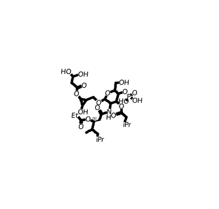 CCC(=O)O[C@@H](CC(=O)NC1C(OCC2C(O)C2OC(=O)CC(O)O)OC(CO)C(OP(=O)(O)O)C1OC(=O)CC(C)C)C(C)CC(C)C